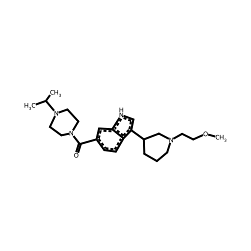 COCCN1CCCC(c2c[nH]c3cc(C(=O)N4CCN(C(C)C)CC4)ccc23)C1